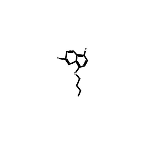 CCCCOc1ccc(F)c2ccc(F)cc12